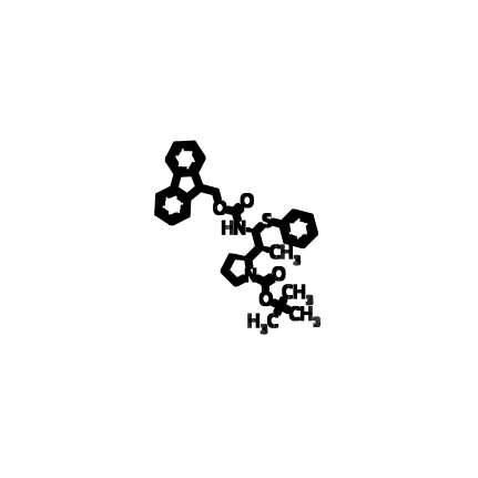 C[C@H]([C@H](NC(=O)OCC1c2ccccc2-c2ccccc21)Sc1ccccc1)[C@@H]1CCCN1C(=O)OC(C)(C)C